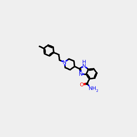 Cc1ccc(CCN2CCC(c3nc4c(C(N)=O)cccc4[nH]3)CC2)cc1